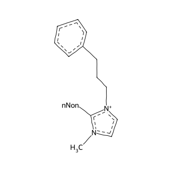 CCCCCCCCCc1n(C)cc[n+]1CCCc1ccccc1